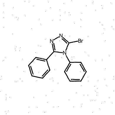 Brc1nnc(-c2ccccc2)n1-c1ccccc1